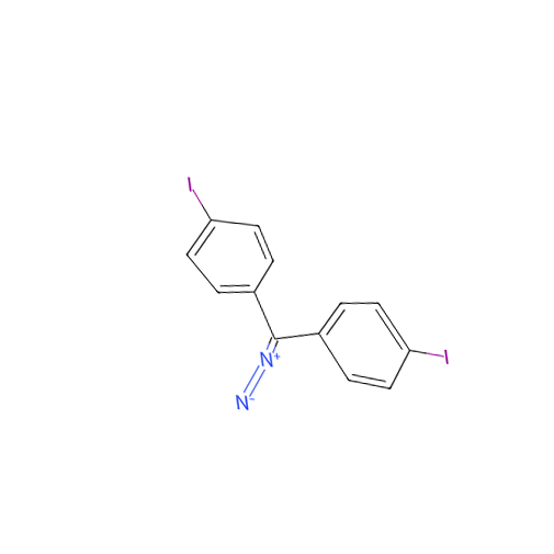 [N-]=[N+]=C(c1ccc(I)cc1)c1ccc(I)cc1